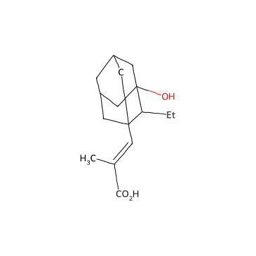 CCC1C2(O)CC3CC(C2)CC1(C=C(C)C(=O)O)C3